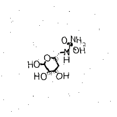 NP(=O)(O)NC[C@@H]1C[C@H](O)[C@H](O)C(O)O1